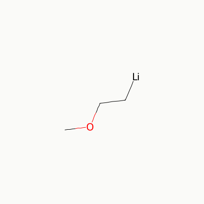 [Li][CH2]COC